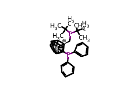 CC(C)(C)P(C[C@@]12[CH]3[CH]4[CH]5[C]1(P(c1ccccc1)c1ccccc1)[Fe]45321678[CH]2[CH]1[CH]6[CH]7[CH]28)C(C)(C)C